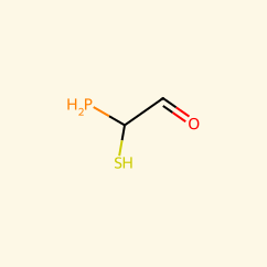 O=CC(P)S